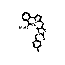 COC(=O)c1ccccc1-c1ccc(C=C2SC(=S)N(Cc3ccc(C)cc3)C2=O)o1